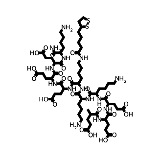 CC(CCC(=O)O)C(=O)NC(CCC(=O)O)C(=O)NC(CCC(=O)O)C(=O)NC(CCCCN)C(=O)NC(CCCCN)C(=O)NC(CCCCNC(=O)CCCCC1CCSS1)C(=O)NC(CCC(=O)O)C(=O)NC(CCC(=O)O)C(=O)NC(CCC(=O)O)C(=O)NC(CCCCN)C(N)=O